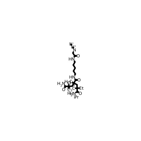 CCC(C)(CC(C)(CC(C)(C)C(N)=O)C(=O)NCCCCCNC(=O)CN=[N+]=[N-])C(=O)NC(C)C